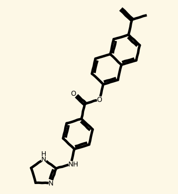 C=C(C)c1ccc2cc(OC(=O)c3ccc(NC4=NCCN4)cc3)ccc2c1